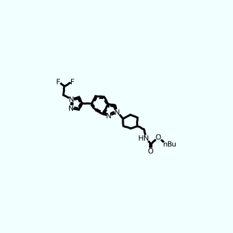 CCCCOC(=O)NCC1CCC(n2cc3ccc(-c4cnn(CC(F)F)c4)cc3n2)CC1